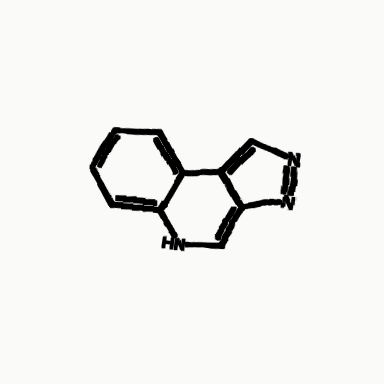 c1ccc2c3cnnc-3c[nH]c2c1